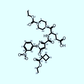 CCOC(=O)N1CCN(C(=O)C(CCC(=O)O)NC(=O)c2cc(OC3(C(=O)OCC)CCC3)n(-c3cccc([N+](=O)[O-])c3)n2)CC1